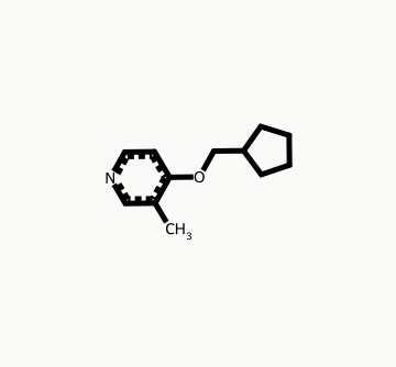 Cc1cnccc1OCC1CCCC1